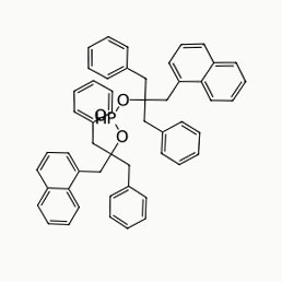 O=[PH](OC(Cc1ccccc1)(Cc1ccccc1)Cc1cccc2ccccc12)OC(Cc1ccccc1)(Cc1ccccc1)Cc1cccc2ccccc12